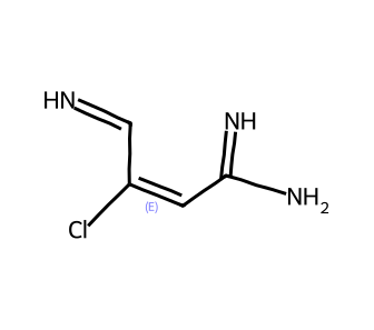 N=C/C(Cl)=C\C(=N)N